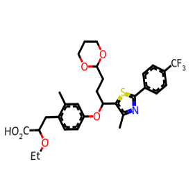 CCOC(Cc1ccc(OC(CCC2OCCCO2)c2sc(-c3ccc(C(F)(F)F)cc3)nc2C)cc1C)C(=O)O